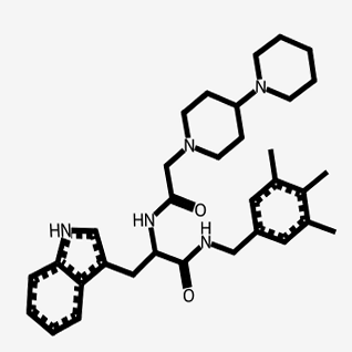 Cc1cc(CNC(=O)C(Cc2c[nH]c3ccccc23)NC(=O)CN2CCC(N3CCCCC3)CC2)cc(C)c1C